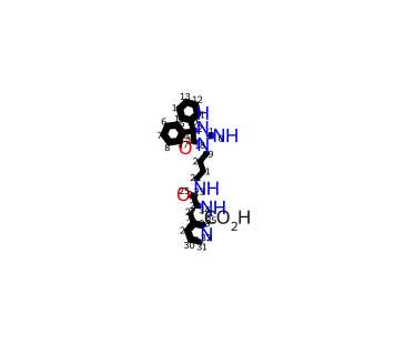 N=C1NC(c2ccccc2)(c2ccccc2)C(=O)N1CCCCNC(=O)[C@H](Cc1cccnc1)NC(=O)O